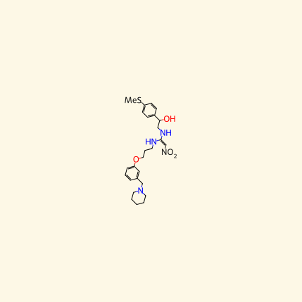 CSc1ccc(C(O)CN/C(=C/[N+](=O)[O-])NCCCOc2cccc(CN3CCCCC3)c2)cc1